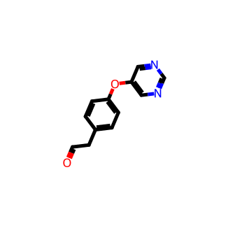 O=CCc1ccc(Oc2cncnc2)cc1